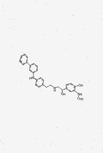 O=CNc1cc([C@@H](O)CNCCc2ccc(Nc3cccc(-c4ccccc4)c3)cc2)ccc1O